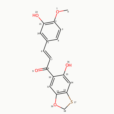 COc1ccc(/C=C/C(=O)c2cc3c(cc2O)SCO3)cc1O